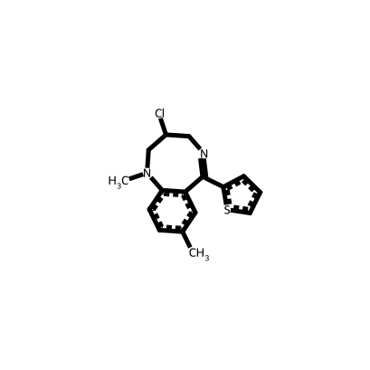 Cc1ccc2c(c1)/C(c1cccs1)=N\CC(Cl)CN2C